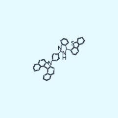 c1ccc2c(c1)N=C(c1ccc(-n3c4ccc5ccccc5c4c4c5ccccc5ccc43)cc1)NC2c1cccc2c1sc1ccccc12